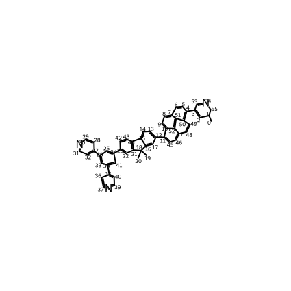 CC1C=C(c2ccc3ccc4c(-c5ccc6c(c5)C(C)(C)c5cc(-c7cc(-c8ccncc8)cc(-c8ccncc8)c7)ccc5-6)ccc5ccc2c3c54)C=NC1